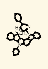 CC1(C)c2ccccc2-c2c1c1c(ccc3c4ccccc4n(-c4ccc(-c5ccccc5)cn4)c31)n2-c1ccccc1